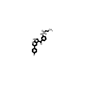 CCCS(=O)(=O)Nc1cccc(C(=O)C2CNc3ncc(-c4ccc(F)cc4)cc32)c1